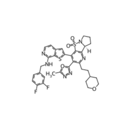 Cc1nnc(-c2c(CCC3CCOCC3)nc3c(c2-c2cc4ccnc(NCc5ccc(F)c(F)c5)c4s2)S(=O)(=O)N2CCC[C@@H]32)o1